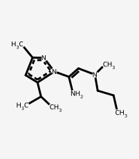 CCCN(C)/C=C(\N)n1nc(C)cc1C(C)C